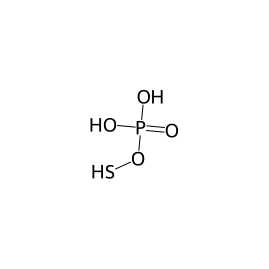 O=P(O)(O)OS